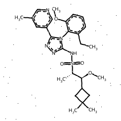 CCc1cccc(OC)c1-n1c(NS(=O)(=O)[C@@H](C)[C@@H](OC)C2CC(C)(C)C2)nnc1-c1cncc(C)c1